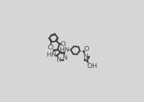 O=C(c1ccccc1Cl)c1c[nH]c2ncnc(N[C@H]3CC[C@@H](C(=O)N4CC(O)C4)CC3)c12